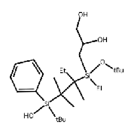 CCC(C)(C(C)(C)[Si](O)(c1ccccc1)C(C)(C)C)[Si](CC)(CC(O)CO)OC(C)(C)C